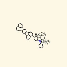 CC1(C)CCC(C)(C)C2(C)C1c1cc(-c3ccc4c5cc6c(cc5c5cccc3c54)c3cccc4cccc6c43)ccc1N2c1ccccc1